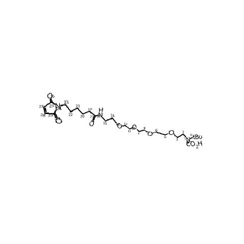 CC(C)(C)N(CCOCCOCCOCCOCCNC(=O)CCCCCN1C(=O)C=CC1=O)C(=O)O